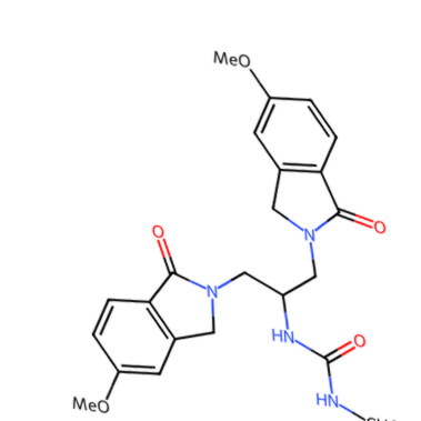 COc1ccc2c(c1)CN(CC(CN1Cc3cc(OC)ccc3C1=O)NC(=O)NC=O)C2=O